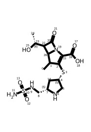 CC1C(S[C@@H]2CN[C@H](CNS(N)(=O)=O)C2)=C(C(=O)O)N2C(=O)C([C@@H](C)O)C12